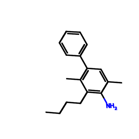 CCCCc1c(C)c(-c2ccccc2)cc(C)c1N